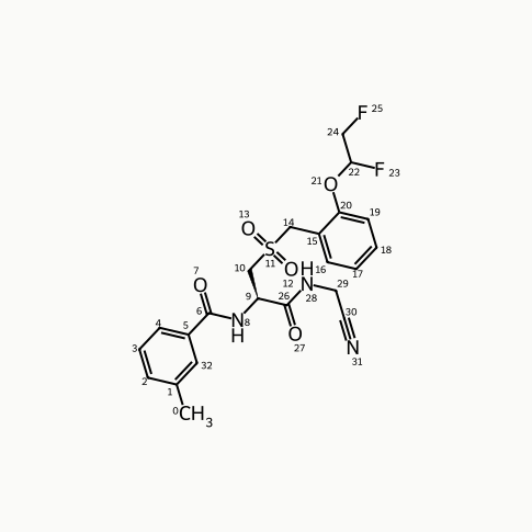 Cc1cccc(C(=O)N[C@@H](CS(=O)(=O)Cc2ccccc2OC(F)CF)C(=O)NCC#N)c1